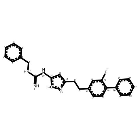 N=C(NCc1ccccc1)Nc1cc(CCc2ccc(-c3ccccc3)c(F)c2)no1